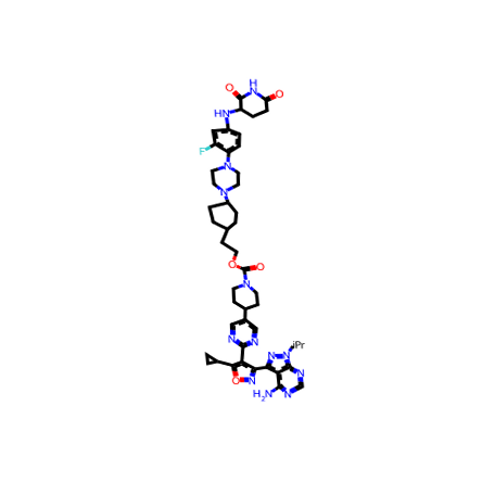 CC(C)n1nc(-c2noc(C3CC3)c2-c2ncc(C3CCN(C(=O)OCCC4CCC(N5CCN(c6ccc(NC7CCC(=O)NC7=O)cc6F)CC5)CC4)CC3)cn2)c2c(N)ncnc21